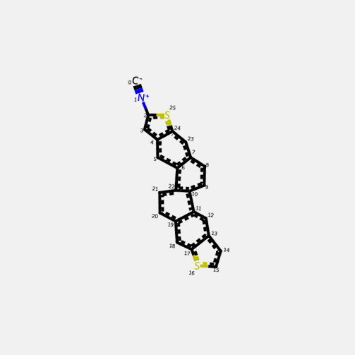 [C-]#[N+]c1cc2cc3c(ccc4c5cc6ccsc6cc5ccc34)cc2s1